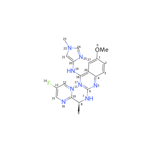 COc1ccc2nc(N[C@@H](C)c3ncc(F)cn3)nc(Nc3cn(C)cn3)c2c1